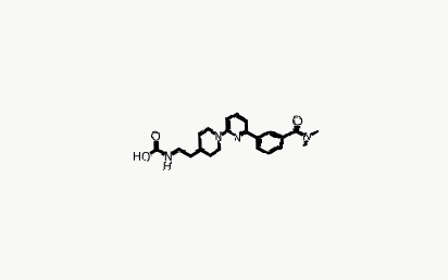 CN(C)C(=O)c1cccc(-c2cccc(N3CCC(CCNC(=O)O)CC3)n2)c1